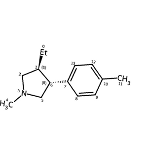 CC[C@@H]1CN(C)C[C@H]1c1ccc(C)cc1